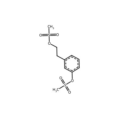 CS(=O)(=O)OCCc1cccc(OS(C)(=O)=O)c1